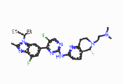 CCC(CC)n1c(C)nc2c(F)cc(-c3nc(Nc4ccc5c(n4)CCN(CCN(C)C)[C@@H]5C)ncc3F)cc21